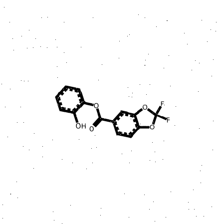 O=C(Oc1ccccc1O)c1ccc2c(c1)OC(F)(F)O2